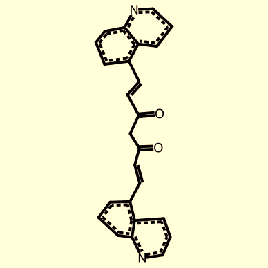 O=C(/C=C/c1cccc2ncccc12)CC(=O)/C=C/c1cccc2ncccc12